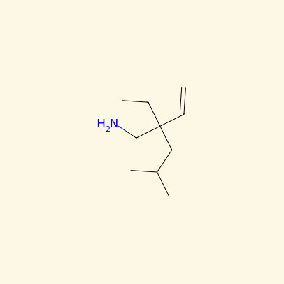 C=CC(CC)(CN)CC(C)C